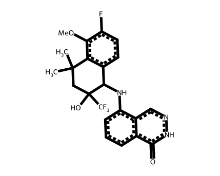 COc1c(F)ccc2c1C(C)(C)CC(O)(C(F)(F)F)C2Nc1cccc2c(=O)[nH]ncc12